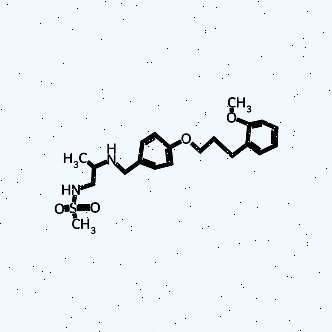 COc1ccccc1CCCOc1ccc(CNC(C)CNS(C)(=O)=O)cc1